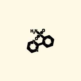 NS(=O)(=O)c1ccccc1-c1ncccn1